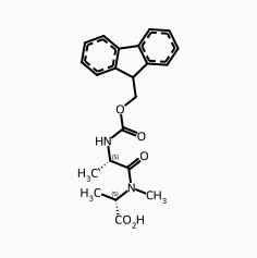 C[C@H](NC(=O)OCC1c2ccccc2-c2ccccc21)C(=O)N(C)[C@@H](C)C(=O)O